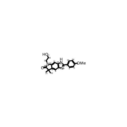 COc1ccc(-c2nc3cc4c(cc3[nH]2)N(CCO)C(=O)C4(C)C)cc1